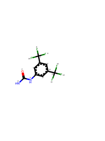 [NH]C(=O)Nc1cc(C(F)(F)F)cc(C(F)(F)F)c1